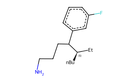 CCCC[C@H](CC)C(CCCN)c1cccc(F)c1